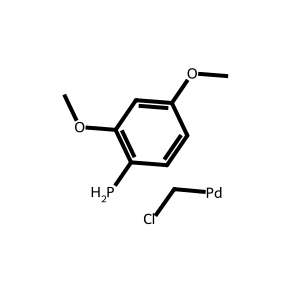 COc1ccc(P)c(OC)c1.Cl[CH2][Pd]